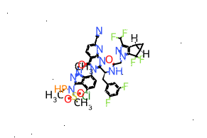 CPN(c1nn(C)c2c(-n3c([C@H](Cc4cc(F)cc(F)c4)NC(=O)Cn4nc(C(F)F)c5c4C(F)(F)[C@@H]4C[C@H]54)nc4nc(C#N)ccc4c3=O)ccc(Cl)c12)S(C)(=O)=O